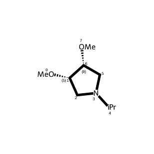 CO[C@H]1CN(C(C)C)C[C@H]1OC